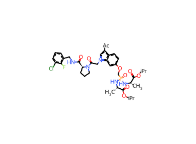 CC(=O)c1cn(CC(=O)N2CCC[C@H]2C(=O)NCc2cccc(Cl)c2F)c2cc(OCP(=O)(N[C@@H](C)C(=O)OC(C)C)N[C@@H](C)C(=O)OC(C)C)ccc12